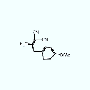 COc1ccc(CC(C)=C(C#N)C#N)cc1